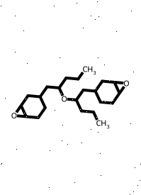 CCCC(CC1CCC2OC2C1)OC(CCC)CC1CCC2OC2C1